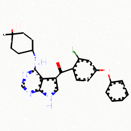 CC1(O)CCC(Nc2ncnc3[nH]cc(C(=O)c4ccc(Oc5ccccc5)cc4Cl)c23)CC1